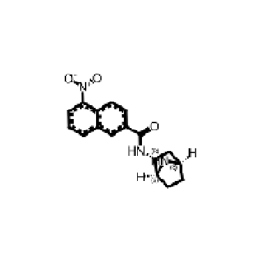 O=C(N[C@@H]1C[C@H]2CC[C@@H]1N2)c1ccc2c([N+](=O)[O-])cccc2c1